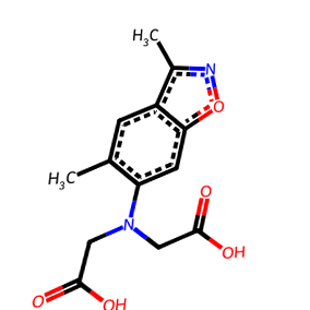 Cc1cc2c(C)noc2cc1N(CC(=O)O)CC(=O)O